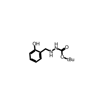 CC(C)(C)OC(=O)NNCc1ccccc1O